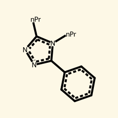 CCCc1nnc(-c2ccccc2)n1CCC